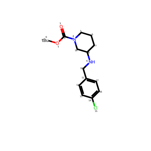 CC(C)(C)OC(=O)N1CCCC(NCc2ccc(Cl)cc2)C1